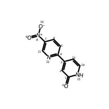 O=c1cc(-c2ccc([N+](=O)[O-])cn2)cc[nH]1